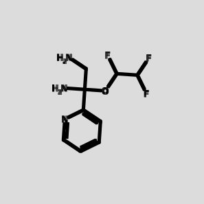 NCC(N)(OC(F)C(F)F)c1ccccn1